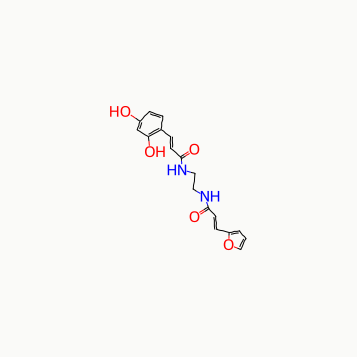 O=C(/C=C/c1ccco1)NCCNC(=O)/C=C/c1ccc(O)cc1O